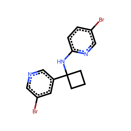 Brc1ccc(NC2(c3cncc(Br)c3)CCC2)nc1